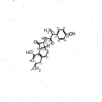 C=CCC1=C(C(=O)O)N2C(=O)C(NC(=O)C(N)c3ccc(O)cc3)[C@@H]2SC1